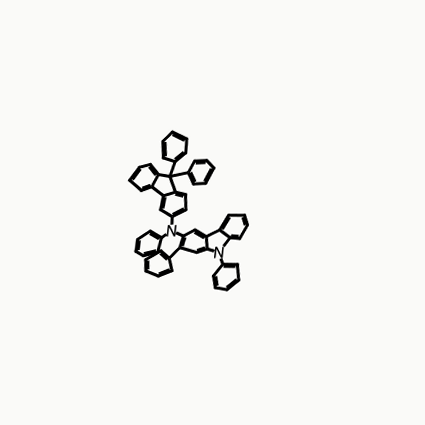 c1ccc(-c2cc3c(cc2N(c2ccccc2)c2ccc4c(c2)-c2ccccc2C4(c2ccccc2)c2ccccc2)c2ccccc2n3-c2ccccc2)cc1